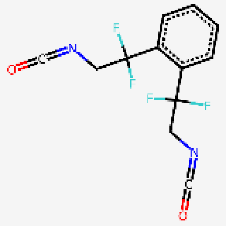 O=C=NCC(F)(F)c1ccccc1C(F)(F)CN=C=O